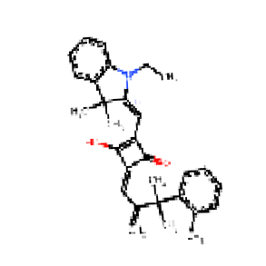 C=C(/C=C1\C(=O)C(/C=C2/N(CC)c3ccccc3C2(C)C)=C1O)C(C)(C)c1ccccc1C